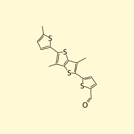 Cc1ccc(-c2sc3c(C)c(-c4ccc(C=O)s4)sc3c2C)s1